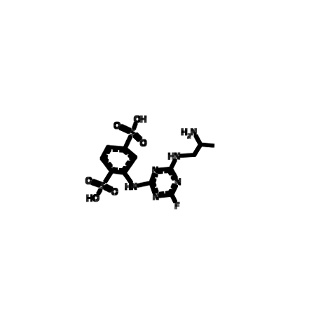 CC(N)CNc1nc(F)nc(Nc2cc(S(=O)(=O)O)ccc2S(=O)(=O)O)n1